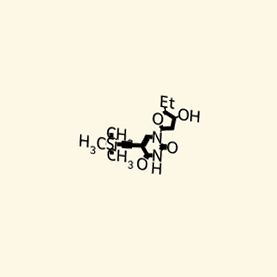 CC[C@H]1O[C@@H](n2cc(C#C[Si](C)(C)C)c(=O)[nH]c2=O)C[C@H]1O